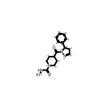 CCNC(=O)N1CCC(C(=O)N2N=CCC2c2ccccc2)CC1